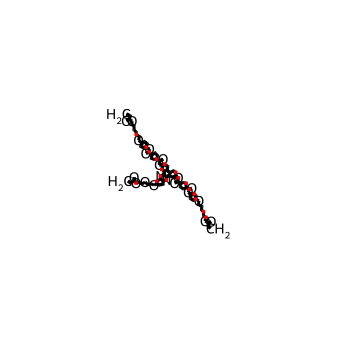 C=CC(=O)OCCCCCCOc1ccc(OC(=O)C2CCC(C(=O)Oc3ccc4c5ccc(OC(=O)C6CCC(C(=O)Oc7ccc(OCCCCCCOC(=O)C=C)cc7)CC6)cc5c5nc6cc(OCCOCCOC(=O)C=C)ccc6nc5c4c3)CC2)cc1